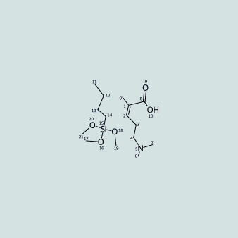 CC(=CCCN(C)C)C(=O)O.CCCC[Si](OC)(OC)OC